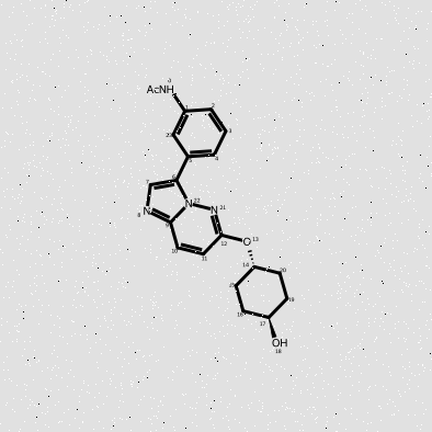 CC(=O)Nc1cccc(-c2cnc3ccc(O[C@H]4CC[C@H](O)CC4)nn23)c1